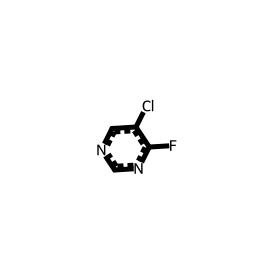 Fc1ncncc1Cl